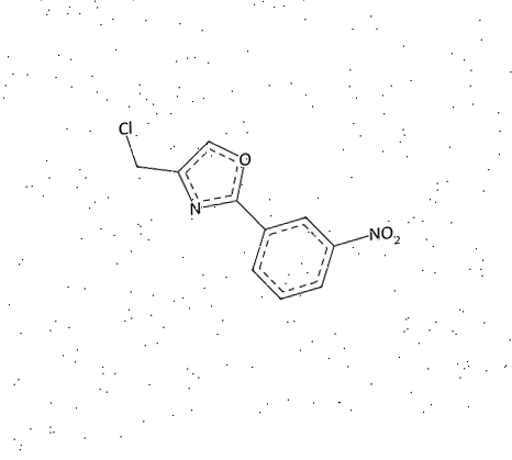 O=[N+]([O-])c1cccc(-c2nc(CCl)co2)c1